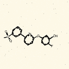 CS(=O)(=O)c1cccc(-c2cccc(Oc3ccc(F)c(O)c3)n2)c1